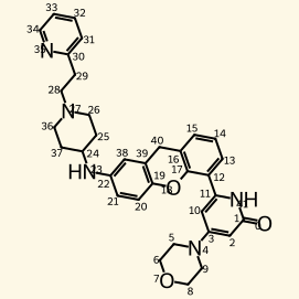 O=c1cc(N2CCOCC2)cc(-c2cccc3c2Oc2ccc(NC4CCN(CCc5ccccn5)CC4)cc2C3)[nH]1